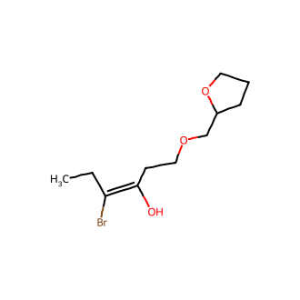 CC/C(Br)=C(/O)CCOCC1CCCO1